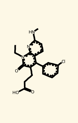 CCn1c(=O)c(CCC(=O)O)c(-c2cccc(Cl)c2)c2ccc(NC)nc21